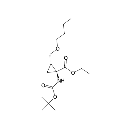 CCCCOC[C@H]1C[C@@]1(NC(=O)OC(C)(C)C)C(=O)OCC